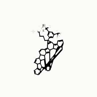 COC(O)CCCC1(c2cc(C(F)(F)F)cc(C(F)(F)F)c2)C2=C1C1=c3ccc4c5ccc6c7c8c9c%10c%11c%12c(c3c4c(c%129)c75)C1C1C2=C2C=CC3C(C2=C%111)C=%10C1C3C=CC6C81